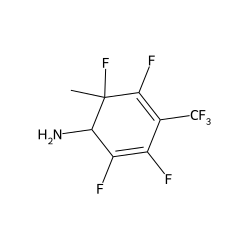 CC1(F)C(F)=C(C(F)(F)F)C(F)=C(F)C1N